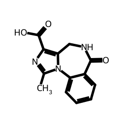 Cc1nc(C(=O)O)c2n1-c1ccccc1C(=O)NC2